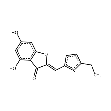 CCc1ccc(/C=C2\Oc3cc(O)cc(O)c3C2=O)s1